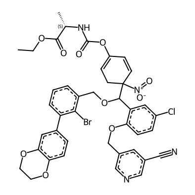 CCOC(=O)[C@H](C)NC(=O)OC1=CCC(C(OCc2cccc(-c3ccc4c(c3)OCCO4)c2Br)c2cc(Cl)ccc2OCc2cncc(C#N)c2)([N+](=O)[O-])C=C1